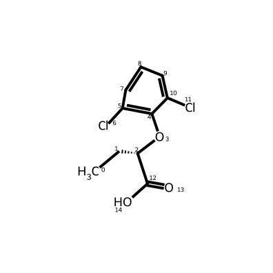 CC[C@H](Oc1c(Cl)cccc1Cl)C(=O)O